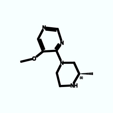 COc1cncnc1N1CCN[C@@H](C)C1